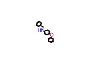 c1ccc(CNc2ccc(Oc3ccccc3)cc2)cc1